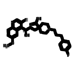 COc1ccc2ncc(Cl)c([C@H](O)CCC3(C(=O)O)CCN(CCCc4ccc(F)cc4)CC3)c2c1